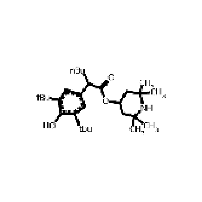 CCCCC(C(=O)OC1CC(C)(C)NC(C)(C)C1)c1cc(C(C)(C)C)c(O)c(C(C)(C)C)c1